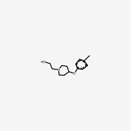 Cc1ccc(OC2CCN(CCO)CC2)cc1